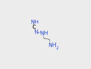 N=C=NNCCN